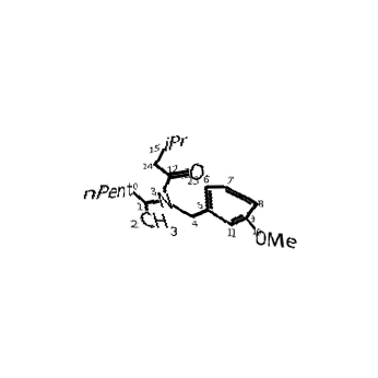 CCCCCC(C)N(Cc1cccc(OC)c1)C(=O)CC(C)C